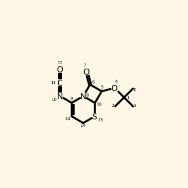 CC(C)(C)OC1C(=O)N2C(N=C=O)=CCSC12